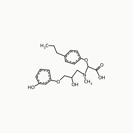 CCCc1ccc(OC(C(=O)O)N(C)CC(O)COc2cccc(O)c2)cc1